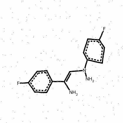 N/C(=C\N(N)c1ccc(F)cc1)c1ccc(F)cc1